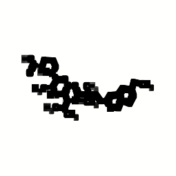 CCc1ccc2cnc(CCC(C)(C)C(=O)N[C@H](C(=O)N[C@@H](C)C(=O)N3CCC[C@@H](C(=O)O)N3)C(C)C)cc2c1